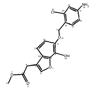 COC(=O)Cc1coc2c(O)c(OCc3ccc(N)cc3Cl)ccc12